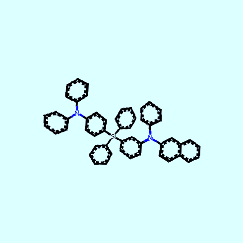 c1ccc(N(c2ccccc2)c2ccc([Si](c3ccccc3)(c3ccccc3)c3cccc(N(c4ccccc4)c4ccc5ccccc5c4)c3)cc2)cc1